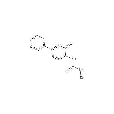 CCNC(=O)Nc1ccc(-c2cccnc2)oc1=O